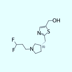 OCc1cnc(C[C@@H]2CCN(CCC(F)F)C2)s1